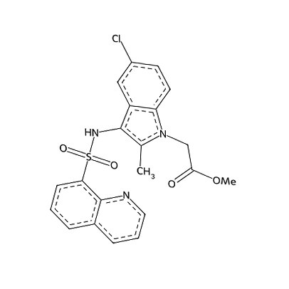 COC(=O)Cn1c(C)c(NS(=O)(=O)c2cccc3cccnc23)c2cc(Cl)ccc21